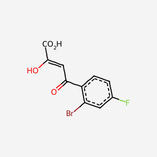 O=C(O)C(O)=CC(=O)c1ccc(F)cc1Br